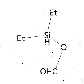 CC[SiH](CC)OC=O